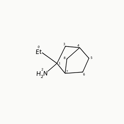 CCC1(N)CC2CCC1C2